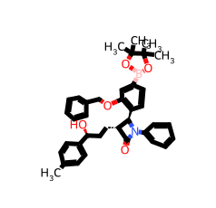 Cc1ccc([C@@H](O)CC[C@H]2C(=O)N(c3ccccc3)[C@@H]2c2ccc(B3OC(C)(C)C(C)(C)O3)cc2OCc2ccccc2)cc1